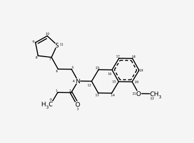 CCC(=O)N(CCC1CC=CS1)C1CCc2c(cccc2OC)C1